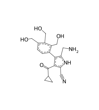 N#Cc1[nH]c(CN)c(-c2ccc(CO)c(CO)c2CO)c1C(=O)C1CC1